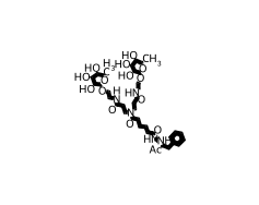 CC(=O)[C@H](Cc1ccccc1)NNC(=O)CCCCC(=O)N(CCC(=O)NCCO[C@@H]1O[C@@H](C)[C@@H](O)[C@@H](O)[C@@H]1O)CCC(=O)NCCO[C@@H]1O[C@@H](C)[C@@H](O)[C@@H](O)[C@@H]1O